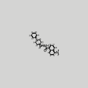 CN(C)c1cccc2c(C(=O)NC3CC34CCN(c3ccccc3)CC4)cccc12